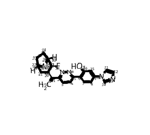 C=C(c1ccc(-c2ccc(-n3ccnc3)cc2O)nn1)[C@H]1C[C@@H]2CC[C@@H](N2)[C@H]1F